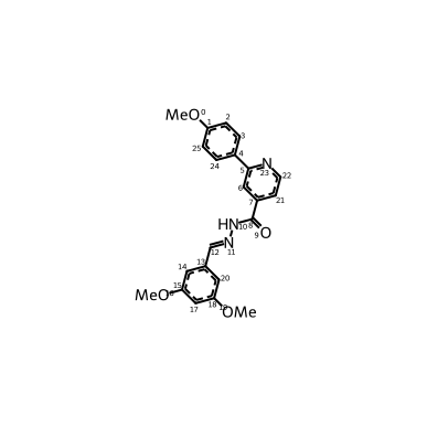 COc1ccc(-c2cc(C(=O)NN=Cc3cc(OC)cc(OC)c3)ccn2)cc1